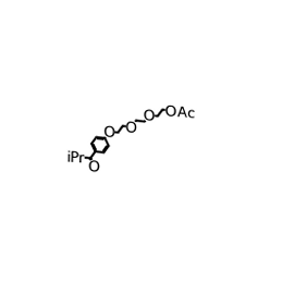 CC(=O)OCCOCCOCCOc1ccc(C(=O)C(C)C)cc1